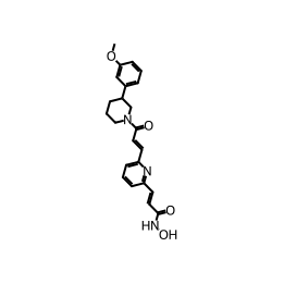 COc1cccc(C2CCCN(C(=O)C=Cc3cccc(C=CC(=O)NO)n3)C2)c1